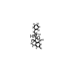 CCc1cc(C)cc(CC)c1C(=O)C(NN=Cc1ccccc1)OC